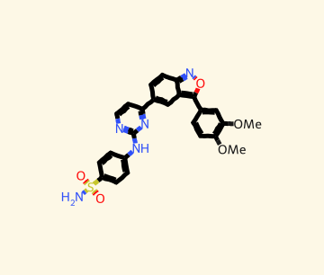 COc1ccc(-c2onc3ccc(-c4ccnc(Nc5ccc(S(N)(=O)=O)cc5)n4)cc23)cc1OC